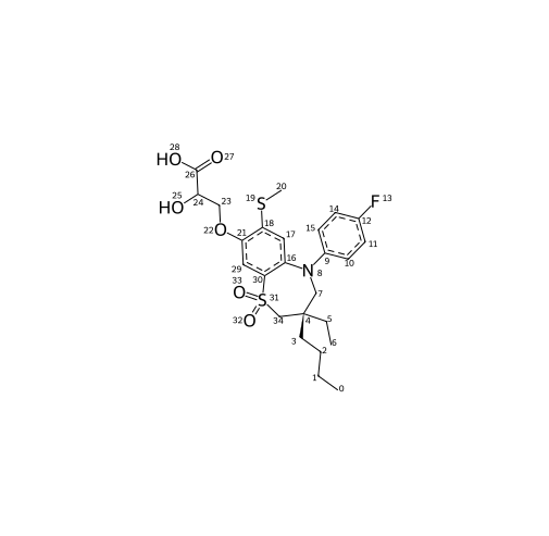 CCCC[C@]1(CC)CN(c2ccc(F)cc2)c2cc(SC)c(OCC(O)C(=O)O)cc2S(=O)(=O)C1